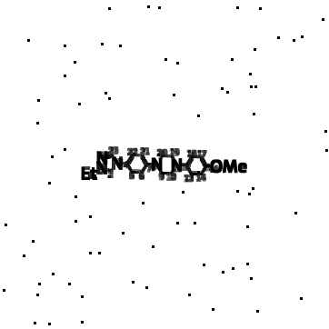 CCN1CN(c2ccc(N3CCN(c4ccc(OC)cc4)CC3)cc2)C=N1